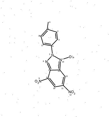 Cc1ccc(-n2nc3c([N+](=O)[O-])cc([N+](=O)[O-])cc3[n+]2[O-])cc1